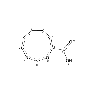 O=C(O)c1cccccnno1